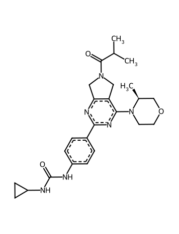 CC(C)C(=O)N1Cc2nc(-c3ccc(NC(=O)NC4CC4)cc3)nc(N3CCOC[C@@H]3C)c2C1